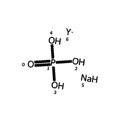 O=P(O)(O)O.[NaH].[Y]